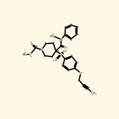 CC#CCOc1ccc(S(=O)(=O)C2(C(=O)N(O)c3ccccc3)CCN(C(=O)OC(C)(C)C)CC2)cc1